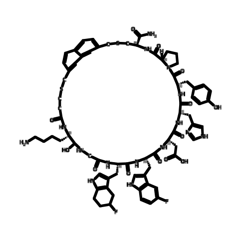 NCCCC[C@@H]1NC(=O)CCSCc2ccc3ccc(cc3c2)CSC[C@@H](C(N)=O)NC(=O)[C@@H]2CCCN2C(=O)[C@H](Cc2ccc(O)cc2)NC(=O)[C@H](Cc2c[nH]cn2)NC(=O)[C@H](CC(=O)O)NC(=O)[C@H](Cc2c[nH]c3ccc(F)cc23)NC(=O)[C@H](Cc2c[nH]c3c2CC(F)CC3)NC(=O)CNC1O